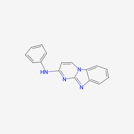 c1ccc(Nc2ccn3c(n2)nc2ccccc23)cc1